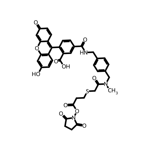 CN(Cc1ccc(CNC(=O)c2ccc(-c3c4ccc(=O)cc-4oc4cc(O)ccc34)c(C(=O)O)c2)cc1)C(=O)CSCCC(=O)ON1C(=O)CCC1=O